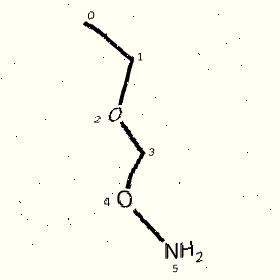 CCOCON